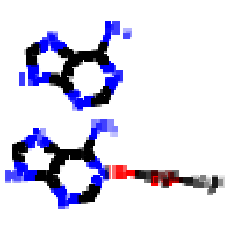 Nc1ncnc2[nH]cnc12.Nc1ncnc2[nH]cnc12.O=S(=O)(O)O.O=S(=O)(O)O